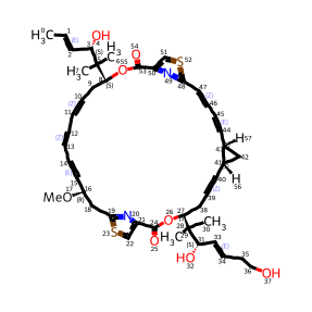 C/C=C/[C@H](O)C(C)(C)[C@@H]1C\C=C/C=C\C=C\[C@H](OC)Cc2nc(cs2)C(=O)O[C@H](C(C)(C)[C@@H](O)/C=C/CCO)C/C=C\[C@H]2C[C@H]2/C=C/C=C\c2nc(cs2)C(=O)O1